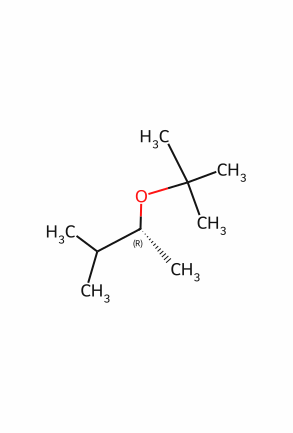 CC(C)[C@@H](C)OC(C)(C)C